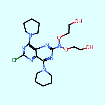 OCCON(OCCO)c1nc(N2CCCCC2)c2nc(Cl)nc(N3CCCCC3)c2n1